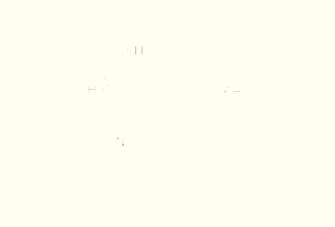 C[C@H]1CC(C)(C)c2ncccc21